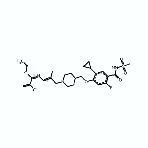 C=C(Cl)/C(=N\C=C(/C)CN1CCC(COc2cc(F)c(C(=O)NS(C)(=O)=O)cc2C2CC2)CC1)OCC(F)(F)F